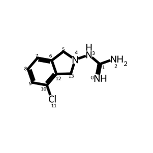 N=C(N)NN1Cc2cccc(Cl)c2C1